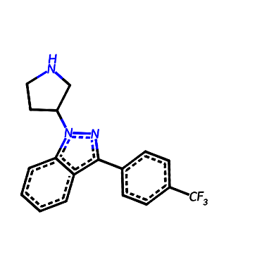 FC(F)(F)c1ccc(-c2nn(C3CCNC3)c3ccccc23)cc1